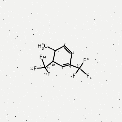 CC1C=CC(C(F)(F)F)=CC1C(F)(F)F